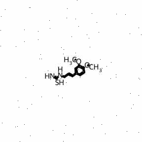 COc1ccc(C=CCNC(=N)S)cc1OC